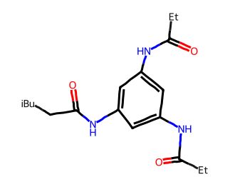 CCC(=O)Nc1cc(NC(=O)CC)cc(NC(=O)CC(C)CC)c1